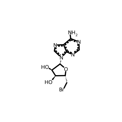 Nc1ncnc2c1ncn2[C@@H]1O[C@H](CBr)[C@@H](O)[C@H]1O